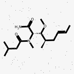 C/C=C/C[C@@H](C)C(OC)[C@@H](C(N)=O)N(C)C(=O)CC(C)C